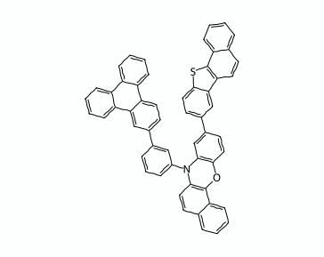 c1cc(-c2ccc3c4ccccc4c4ccccc4c3c2)cc(N2c3cc(-c4ccc5sc6c7ccccc7ccc6c5c4)ccc3Oc3c2ccc2ccccc32)c1